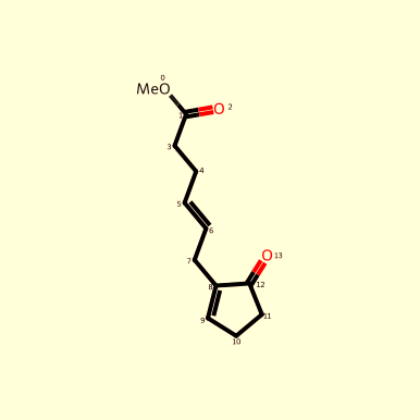 COC(=O)CCC=CCC1=CCCC1=O